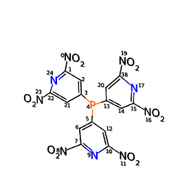 O=[N+]([O-])c1cc(P(c2cc([N+](=O)[O-])nc([N+](=O)[O-])c2)c2cc([N+](=O)[O-])nc([N+](=O)[O-])c2)cc([N+](=O)[O-])n1